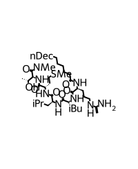 C=C(N)NCCC[C@H](NC(=O)CCCCCCCCCCCCCCC)C(=O)N[C@H](C(=O)N[C@@H](CC(C)C)C(=O)N[C@@H](CCSC)C(=O)N[C@H](C(=O)NC)[C@@H](C)O)[C@@H](C)CC